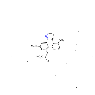 CCC(Cc1cc(OC)ccc1-c1cccc(C)c1-c1cccnc1)C(=O)O